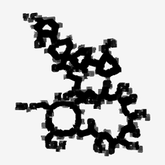 CCOc1ccccc1-c1ncc(C2(C(=O)NCCN(C)CCNC(=O)CN(C)C(=O)CN(C)C(=O)CN(C)C(=O)CN(C)C(=O)CN3CCN(CC(=O)O)CCN(CC(=O)O)CCN(CC(=O)O)CC3)CCN(c3ccc(C(F)(F)F)cc3C#N)CC2)cc1F